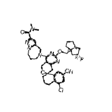 CN(C)C(=O)c1cc2n(n1)CCCN(c1nc(OC[C@@]34CCCN3C[C@H](F)C4)nc3c1COC1(CCCc4c(Cl)cc(O)cc41)C3)C2